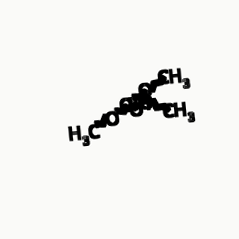 CCCCOCCO[PH](=O)CC(OCCCC)OCCCC